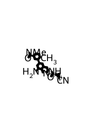 CNC(=O)c1ccc(C)c(-c2cc(N)c3cnc(NC(=O)[C@@H]4C[C@H]4C#N)cc3c2)c1